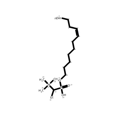 CCCCCCCCCCCC/C=C\CCCCCCOP(=O)(O)C(CC)[N+](C)(C)C